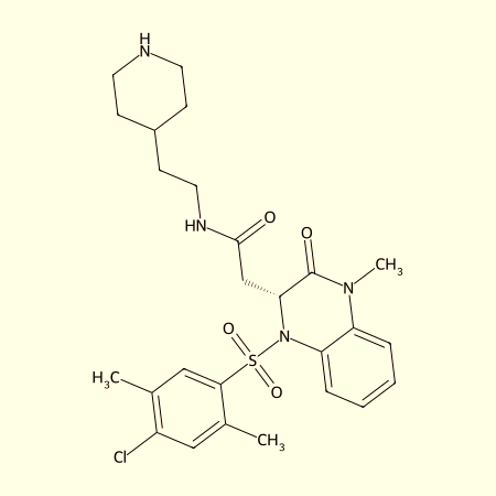 Cc1cc(S(=O)(=O)N2c3ccccc3N(C)C(=O)[C@H]2CC(=O)NCCC2CCNCC2)c(C)cc1Cl